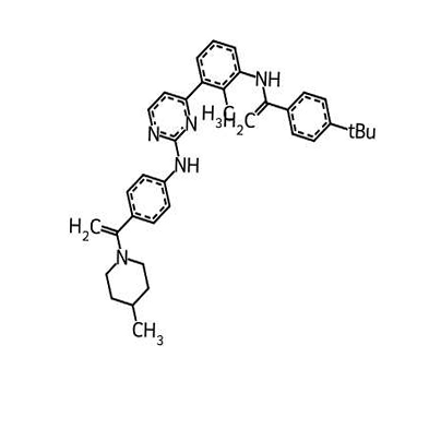 C=C(Nc1cccc(-c2ccnc(Nc3ccc(C(=C)N4CCC(C)CC4)cc3)n2)c1C)c1ccc(C(C)(C)C)cc1